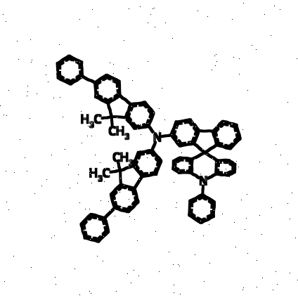 CC1(C)c2cc(-c3ccccc3)ccc2-c2ccc(N(c3ccc4c(c3)C(C)(C)c3cc(-c5ccccc5)ccc3-4)c3ccc4c(c3)C3(c5ccccc5-4)c4ccccc4N(c4ccccc4)c4ccccc43)cc21